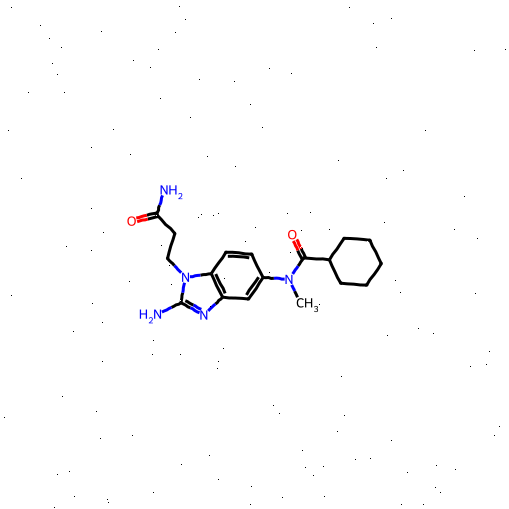 CN(C(=O)C1CCCCC1)c1ccc2c(c1)nc(N)n2CCC(N)=O